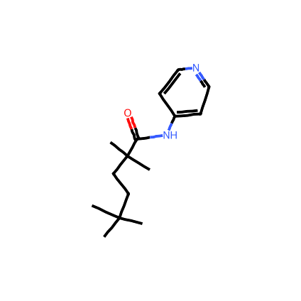 CC(C)(C)CCC(C)(C)C(=O)Nc1ccncc1